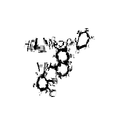 COc1cc2c(Nc3cccc(Cl)c3F)ncnc2cc1ON1CCCCC1.Cl.Cl